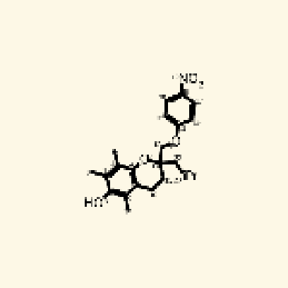 Cc1c(C)c2c(c(C)c1O)CCC(COc1ccc([N+](=O)[O-])cc1)(CC(C)C)O2